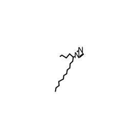 CCCCCCCCCCCC(CCCC)N1C=CN(C)C1